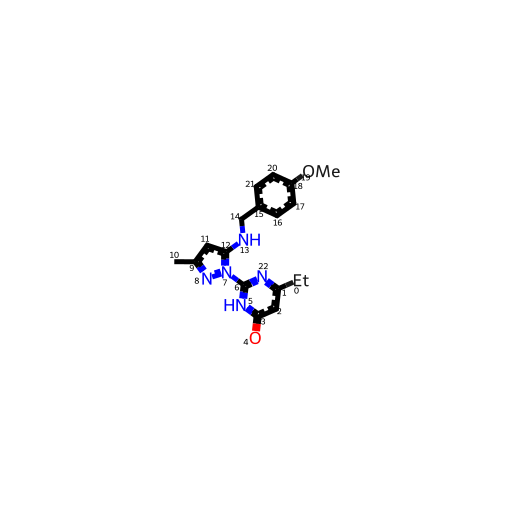 CCc1cc(=O)[nH]c(-n2nc(C)cc2NCc2ccc(OC)cc2)n1